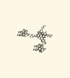 CCCCCCC(=Nc1cc(CCCCC)cc(CCCCC)c1)C(CCCC)=Nc1cc(CCCCC)cc(CCCCC)c1.CCCc1ccc(O)c(O)c1C(=O)[O-].CCCc1ccc(O)c(O)c1C(=O)[O-].[Ni+2]